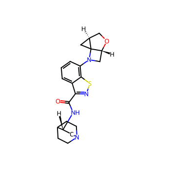 O=C(N[C@@H]1CN2CCC1CC2)c1nsc2c(N3C[C@H]4OC[C@@H]5CC543)cccc12